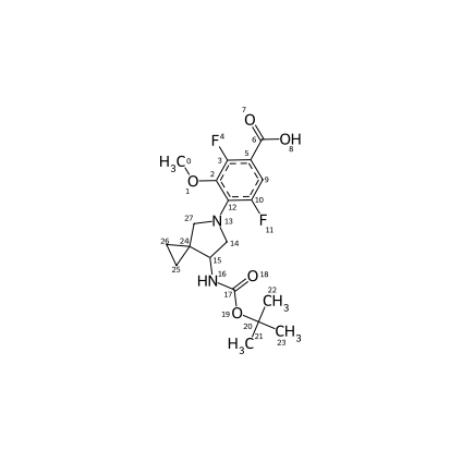 COc1c(F)c(C(=O)O)cc(F)c1N1CC(NC(=O)OC(C)(C)C)C2(CC2)C1